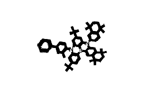 Cc1cc(-c2ccccc2)ccc1N1c2cc(C(C)(C)C)ccc2B2c3cc4c(cc3N(c3ccc5c(c3)C(C)(C)CCC5(C)C)c3cc(C(C)(C)C)cc1c32)C(C)(C)CCC4(C)C